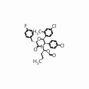 CCC[C@H](OC=O)N1C(=O)[C@H](Cc2ccc(F)cc2)O[C@@H](c2ccc(Cl)cc2C)[C@H]1c1ccc(Cl)cc1